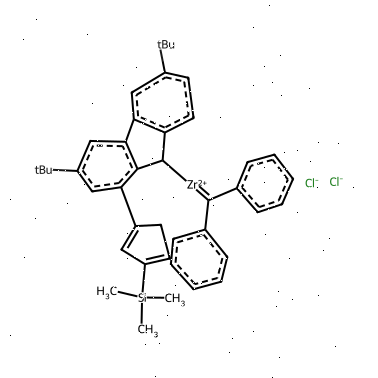 CC(C)(C)c1ccc2c(c1)-c1cc(C(C)(C)C)cc(C3=CC([Si](C)(C)C)=CC3)c1[CH]2[Zr+2]=[C](c1ccccc1)c1ccccc1.[Cl-].[Cl-]